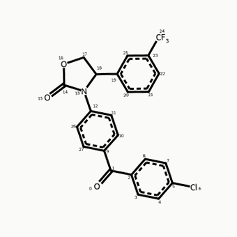 O=C(c1ccc(Cl)cc1)c1ccc(N2C(=O)OCC2c2cccc(C(F)(F)F)c2)cc1